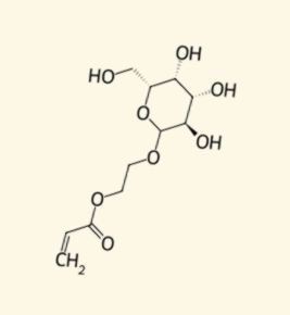 C=CC(=O)OCCOC1O[C@H](CO)[C@H](O)[C@H](O)[C@H]1O